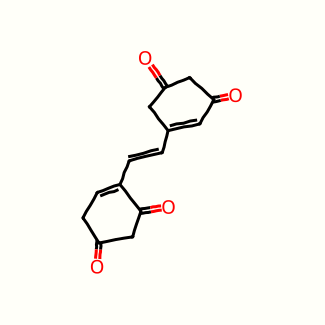 O=C1C=C(C=CC2=CCC(=O)CC2=O)CC(=O)C1